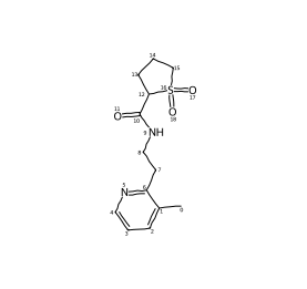 Cc1cccnc1CCNC(=O)C1CCCS1(=O)=O